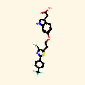 Cc1nc(-c2ccc(C(F)(F)F)cc2)sc1CCOc1ccc2c(CC(=O)O)c[nH]c2c1